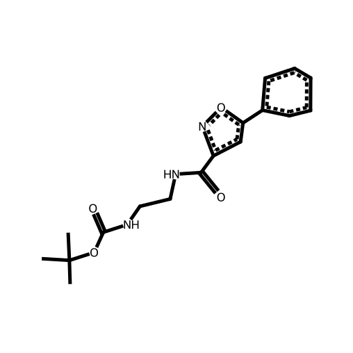 CC(C)(C)OC(=O)NCCNC(=O)c1cc(-c2ccccc2)on1